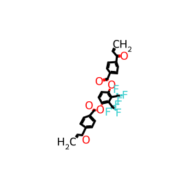 C=CC(=O)c1ccc(C(=O)Oc2ccc(OC(=O)c3ccc(C(=O)C=C)cc3)c(C(F)(F)F)c2C(F)(F)F)cc1